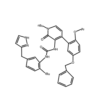 CCCCn1ccc(-c2cc(OCc3ccccc3)ccc2OC(C)C)c(NC(=O)Nc2cc(Cc3cc[nH]n3)ccc2C(C)(C)C)c1=O